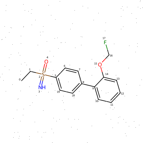 CCS(=N)(=O)c1ccc(-c2ccccc2OCF)cc1